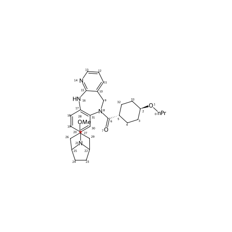 CCCO[C@H]1CC[C@H](C(=O)N2Cc3cccnc3Nc3ccc(N4C5CCC4CC(OC)C5)cc32)CC1